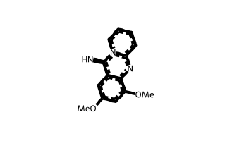 COc1cc(OC)c2nc3ccccn3c(=N)c2c1